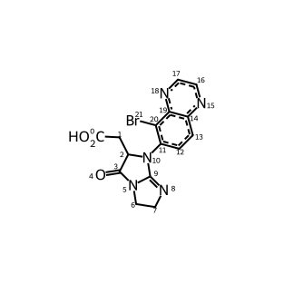 O=C(O)CC1C(=O)N2CCN=C2N1c1ccc2nccnc2c1Br